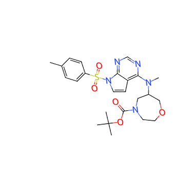 Cc1ccc(S(=O)(=O)n2ccc3c(N(C)C4COCCN(C(=O)OC(C)(C)C)C4)ncnc32)cc1